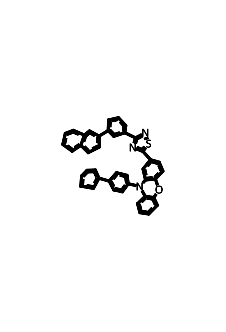 c1ccc(-c2ccc(N3c4ccccc4Oc4ccc(-c5nc(-c6cccc(-c7ccc8ccccc8c7)c6)ns5)cc43)cc2)cc1